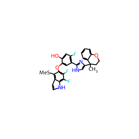 CSc1c(Oc2cc(-c3nc(C4(C)CCOc5ccccc54)c[nH]3)c(F)cc2O)c(F)c(F)c2[nH]ccc12